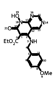 CCOC(=O)c1c(NCc2ccc(OC)cc2)c2cncnc2n(O)c1=O